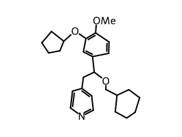 COc1ccc(C(Cc2ccncc2)OCC2CCCCC2)cc1OC1CCCC1